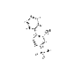 Oc1cc(C(F)(F)F)ccc1-c1cccnn1